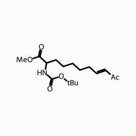 COC(=O)C(CCCCCC=CC(C)=O)NC(=O)OC(C)(C)C